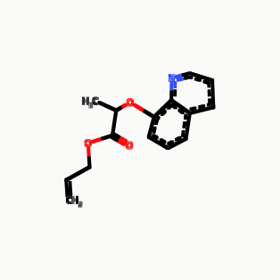 C=CCOC(=O)C(C)Oc1cccc2cccnc12